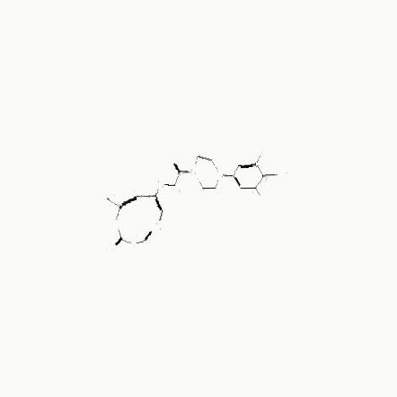 C[C@@H]1CN(C2=CC(F)C(Cl)C(F)=C2)CCN1C(=O)CNc1cnc[nH]c(=O)oc(I)c1